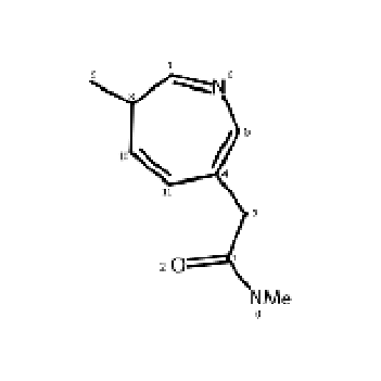 CNC(=O)CC1=CN=CC(C)C=C1